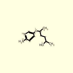 CC(O)CCC(C)Oc1ccc(N)nc1